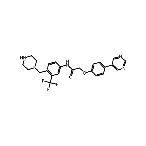 O=C(COc1ccc(-c2cncnc2)cc1)Nc1ccc(CN2CCNCC2)c(C(F)(F)F)c1